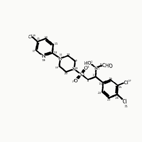 O=CN(O)C(CS(=O)(=O)N1CCN(c2ccc(Cl)cn2)CC1)c1ccc(Cl)c(Cl)c1